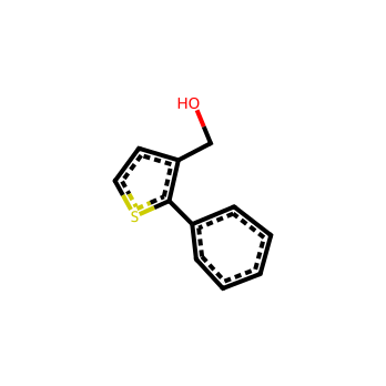 OCc1ccsc1-c1ccccc1